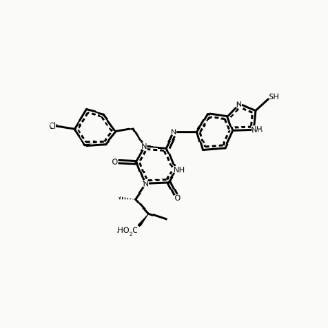 C[C@@H](C(=O)O)[C@H](C)n1c(=O)[nH]/c(=N\c2ccc3[nH]c(S)nc3c2)n(Cc2ccc(Cl)cc2)c1=O